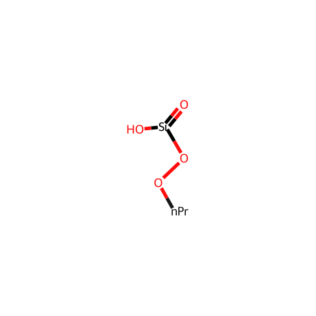 CCCOO[Si](=O)O